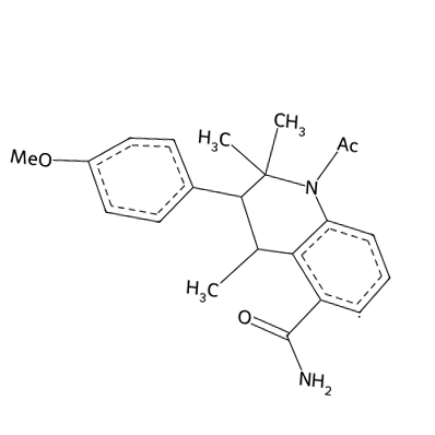 COc1ccc(C2C(C)c3c(C(N)=O)[c]ccc3N(C(C)=O)C2(C)C)cc1